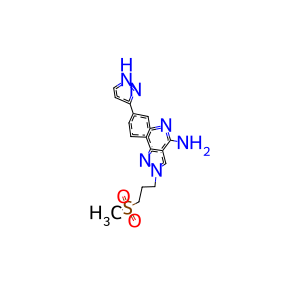 CS(=O)(=O)CCCn1cc2c(N)nc3cc(-c4cc[nH]n4)ccc3c2n1